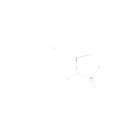 CN1C(=O)CCC1S(=O)(=O)O